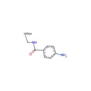 CCCCCCCNC(=O)c1ccc(N)cc1